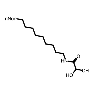 CCCCCCCCCCCCCCCCCCNC(=O)C(O)O